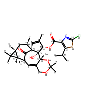 CC1=C[C@]23C(=O)[C@@H](C=C4COC(C)(C)O[C@H]4[C@]2(O)[C@H]1OC(=O)c1nc(Cl)sc1C(C)C)[C@H]1[C@@H](C[C@H]3C)C1(C)C